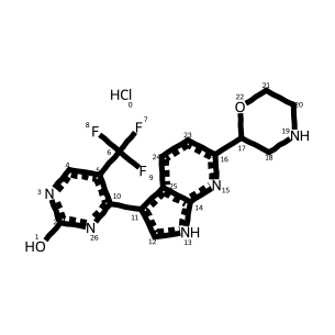 Cl.Oc1ncc(C(F)(F)F)c(-c2c[nH]c3nc(C4CNCCO4)ccc23)n1